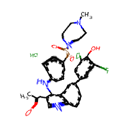 CC(=O)c1cnc2ccc(-c3cc(F)c(O)c(Cl)c3)cc2c1Nc1ccc(S(=O)(=O)N2CCN(C)CC2)cc1.Cl